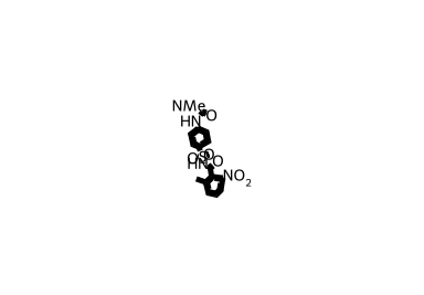 CNC(=O)Nc1ccc(S(=O)(=O)NC(=O)c2c(C)cccc2[N+](=O)[O-])cc1